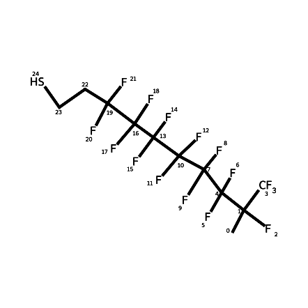 CC(F)(C(F)(F)F)C(F)(F)C(F)(F)C(F)(F)C(F)(F)C(F)(F)C(F)(F)CCS